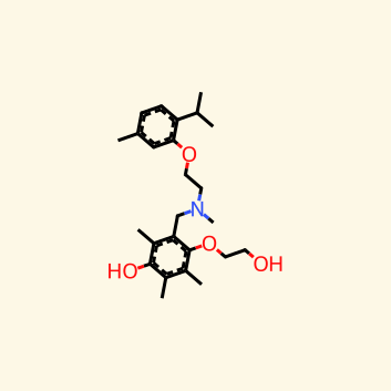 Cc1ccc(C(C)C)c(OCCN(C)Cc2c(C)c(O)c(C)c(C)c2OCCO)c1